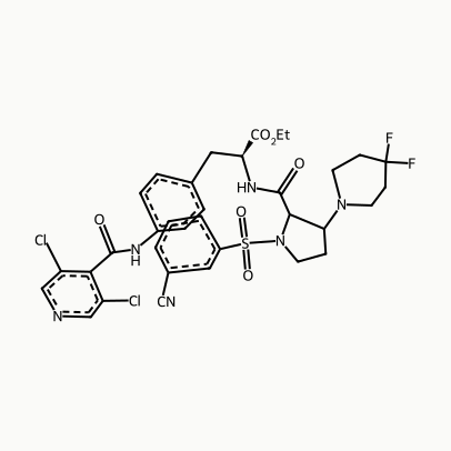 CCOC(=O)[C@H](Cc1ccc(NC(=O)c2c(Cl)cncc2Cl)cc1)NC(=O)C1C(N2CCC(F)(F)CC2)CCN1S(=O)(=O)c1cccc(C#N)c1